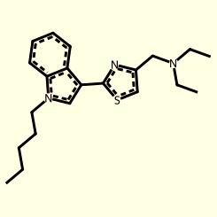 CCCCCn1cc(-c2nc(CN(CC)CC)cs2)c2ccccc21